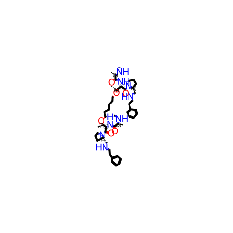 CN[C@@H](C)C(=O)N[C@H](C(=O)N1CCC[C@H]1CNCCc1ccccc1)[C@@H](C)OCCCCCCO[C@H](C)[C@H](NC(=O)[C@H](C)NC)C(=O)N1CCC[C@H]1CNCCc1ccccc1